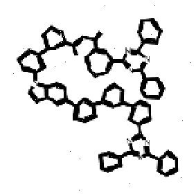 C=C(/C=C(\C)c1cccc(-c2cccc(-n3ccc4cc(-c5cccc(-c6cccc(-c7cccc(-c8nc(C9=CCCC=C9)nc(-c9ccccc9)n8)c7)c6)c5)ccc43)c2)c1)C1=CC(c2nc(-c3ccccc3)nc(-c3ccccc3)n2)=CCC=C1